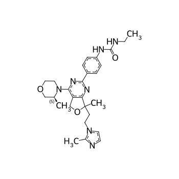 CCNC(=O)Nc1ccc(-c2nc(N3CCOC[C@@H]3C)c3c(n2)C(C)(CCn2ccnc2C)OC3)cc1